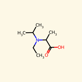 CCN(C(C)C)C(C)C(=O)O